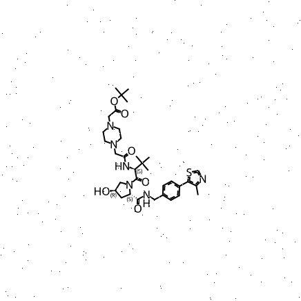 Cc1ncsc1-c1ccc(CNC(=O)[C@@H]2C[C@@H](O)CN2C(=O)[C@@H](NC(=O)CN2CCN(CC(=O)OC(C)(C)C)CC2)C(C)(C)C)cc1